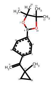 C=C(c1ccc(B2OC(C)(C)C(C)(C)O2)cc1)C1(C)CC1